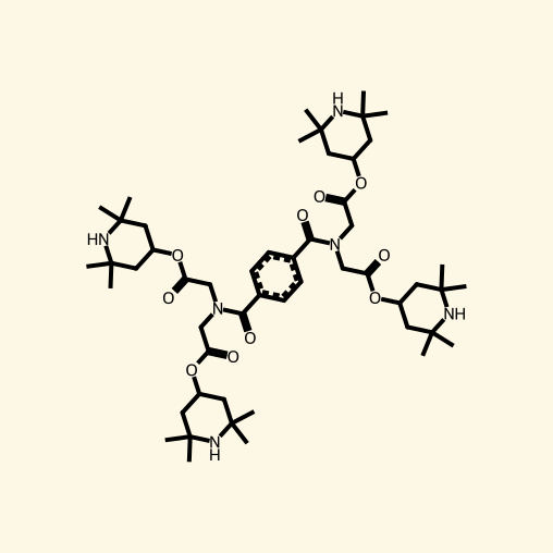 CC1(C)CC(OC(=O)CN(CC(=O)OC2CC(C)(C)NC(C)(C)C2)C(=O)c2ccc(C(=O)N(CC(=O)OC3CC(C)(C)NC(C)(C)C3)CC(=O)OC3CC(C)(C)NC(C)(C)C3)cc2)CC(C)(C)N1